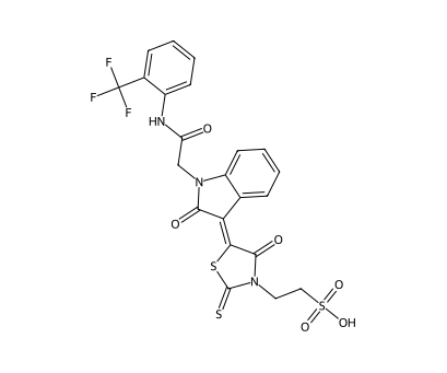 O=C(CN1C(=O)/C(=C2\SC(=S)N(CCS(=O)(=O)O)C2=O)c2ccccc21)Nc1ccccc1C(F)(F)F